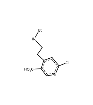 CCNCCc1cc(Cl)ncc1C(=O)O